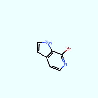 Brc1nccc2cc[nH]c12